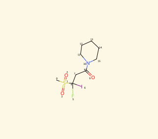 CS(=O)(=O)C(F)(I)CC(=O)N1CCCCC1